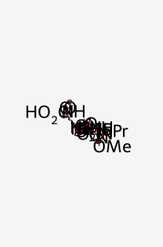 C=C[C@@H]1C[C@]1(NC(=O)[C@@H]1C[C@@H](Oc2cc(-c3nc(C(C)C)sc3N)nc3cc(OC)ccc23)CN1)C(=O)NS(=O)(=O)c1ccccc1NCCCCCCC[C@H](NC(=O)OC1CCCC1)C(=O)O